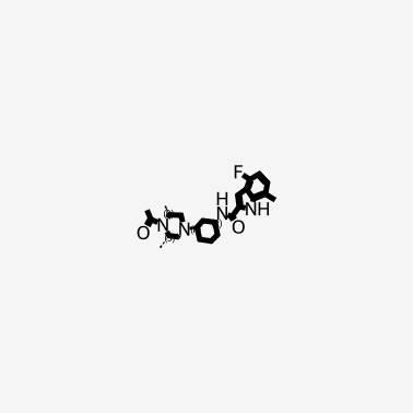 CC(=O)N1[C@H](C)CN([C@@H]2CCC[C@@H](NC(=O)c3cc4c(F)ccc(C)c4[nH]3)C2)C[C@@H]1C